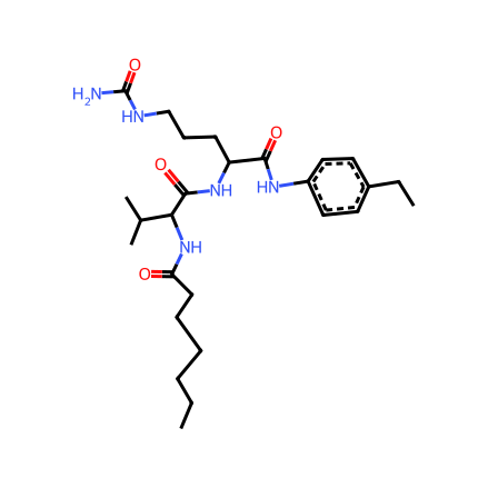 CCCCCCC(=O)NC(C(=O)NC(CCCNC(N)=O)C(=O)Nc1ccc(CC)cc1)C(C)C